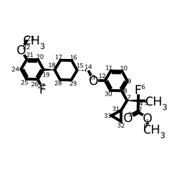 COC(=O)C(C)(F)[C@H](c1cccc(OC[C@H]2CC[C@H](c3cc(OC)ccc3F)CC2)c1)C1CC1